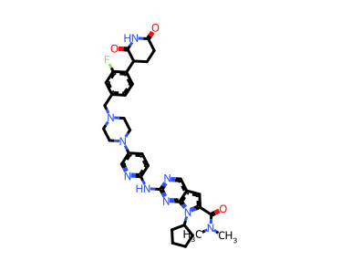 CN(C)C(=O)c1cc2cnc(Nc3ccc(N4CCN(Cc5ccc(C6CCC(=O)NC6=O)c(F)c5)CC4)cn3)nc2n1C1CCCC1